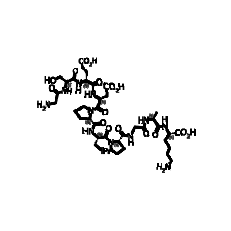 CC(C)C[C@H](NC(=O)[C@@H]1CCCN1C(=O)[C@H](CC(=O)O)NC(=O)[C@H](CCC(=O)O)NC(=O)[C@H](CO)NC(=O)CN)C(=O)N1CCC[C@H]1C(=O)NCC(=O)N[C@@H](C)C(=O)N[C@@H](CCCCN)C(=O)O